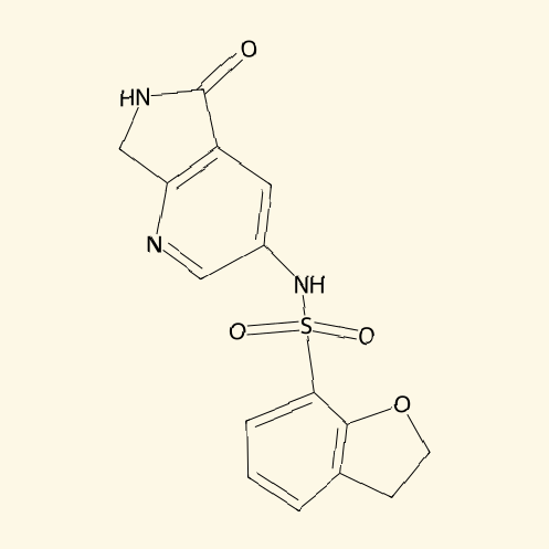 O=C1NCc2ncc(NS(=O)(=O)c3cccc4c3OCC4)cc21